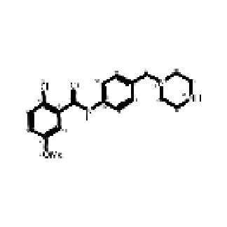 COc1ccc(Cl)c(C(=O)Nc2ccc(CN3CCNCC3)cc2)c1